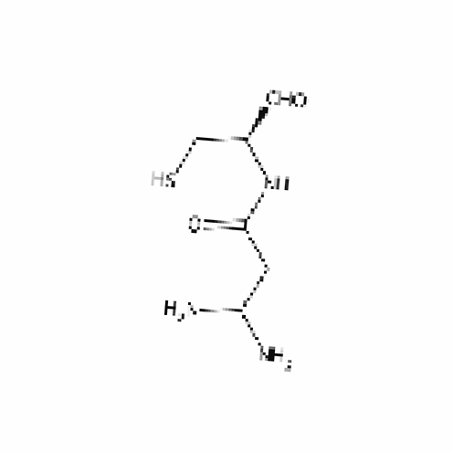 NC(N)CC(=O)N[C@H]([C]=O)CS